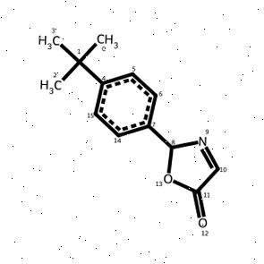 CC(C)(C)c1ccc(C2N=CC(=O)O2)cc1